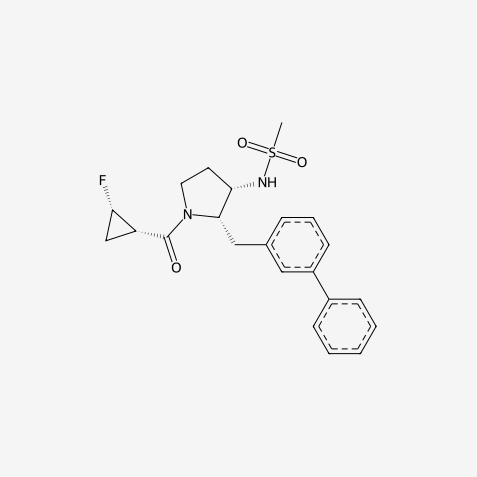 CS(=O)(=O)N[C@H]1CCN(C(=O)[C@@H]2C[C@@H]2F)[C@H]1Cc1cccc(-c2ccccc2)c1